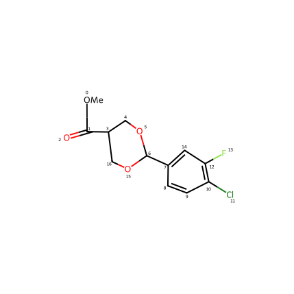 COC(=O)C1COC(c2ccc(Cl)c(F)c2)OC1